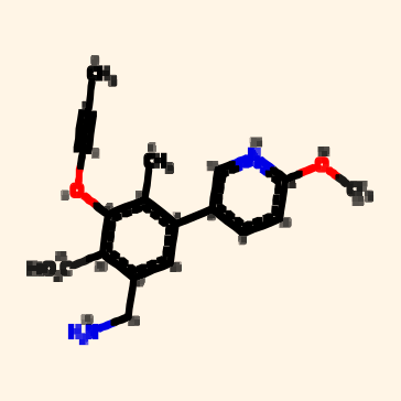 CC#COc1c(C)c(-c2ccc(OC(F)(F)F)nc2)cc(CN)c1C(=O)OCC